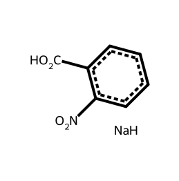 O=C(O)c1ccccc1[N+](=O)[O-].[NaH]